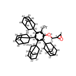 CC(C)c1c(OCC2CO2)c(C23CC4CC(CC(C4)C2)C3)c(C23CC4CC(CC(C4)C2)C3)c(C23CC4CC(CC(C4)C2)C3)c1C12CC3CC(CC(C3)C1)C2